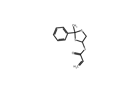 C=CC(=O)SC1CSC(C)(c2ccccc2)S1